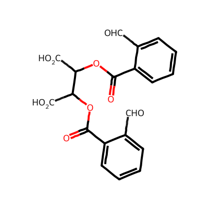 O=Cc1ccccc1C(=O)OC(C(=O)O)C(OC(=O)c1ccccc1C=O)C(=O)O